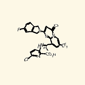 C[C@@H](Nc1ccc(Cl)nc1C(=O)O)c1cc(C(F)(F)F)cn2c(=O)cc(N3Cc4ccc(F)cc4C3)nc12